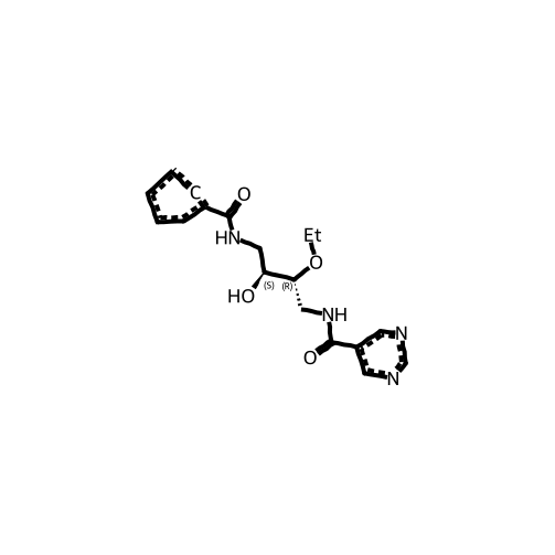 CCO[C@H](CNC(=O)c1cncnc1)[C@@H](O)CNC(=O)c1ccccc1